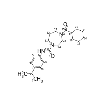 CC(C)c1ccc(NC(=O)N2CCCN(C(=O)C3CCCCC3)CC2)cc1